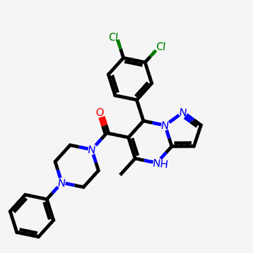 CC1=C(C(=O)N2CCN(c3ccccc3)CC2)C(c2ccc(Cl)c(Cl)c2)n2nccc2N1